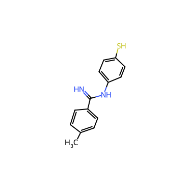 Cc1ccc(C(=N)Nc2ccc(S)cc2)cc1